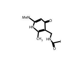 CNc1cc(=O)c(CNC(=O)I)c(C)[nH]1